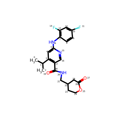 CC(C)c1cc(Nc2ccc(F)cc2F)ncc1C(=O)NCC1CCOC(=O)C1